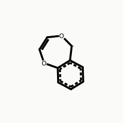 [CH]1OC=COc2ccccc21